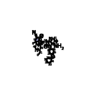 CCN1CCN(C(C)(C)/C=C(/C#N)C(=O)N2CC[C@H]2Cn2c(=O)n(-c3ccc(Oc4ccccc4)cc3)c3c(N)ncnc32)CC1